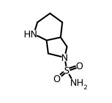 NS(=O)(=O)N1CC2CCCNC2C1